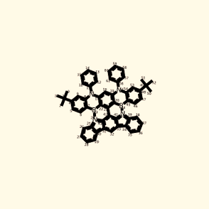 CC(C)(C)c1ccc2c(c1)N(c1ccccc1)c1cc3c4c5c1B2n1c2ccccc2c2cc6c7ccccc7n(c6c-5c21)B4c1ccc(C(C)(C)C)cc1N3c1ccccc1